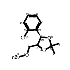 CCCCOCC1OC(C)(C)O[C@@H]1c1ccccc1Cl